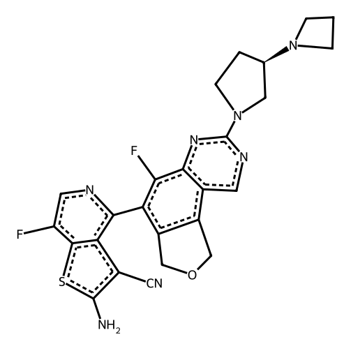 N#Cc1c(N)sc2c(F)cnc(-c3c4c(c5cnc(N6CC[C@@H](N7CCC7)C6)nc5c3F)COC4)c12